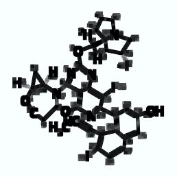 [2H]C([2H])(Oc1nc(N2CCCO[C@H]3C[C@H]32)c2c(OC)nc(-c3cc(O)cc4ccc(F)c(C#C)c34)c(F)c2n1)[C@@]12CCCN1C[C@H](F)C2